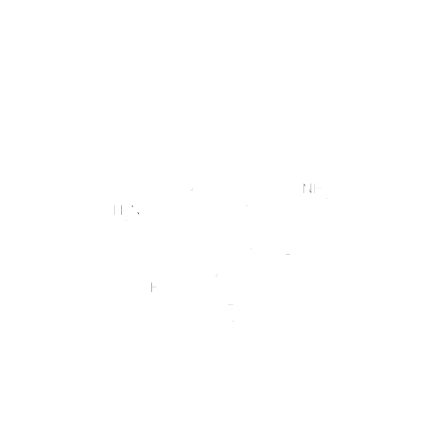 Nc1c(F)c(F)c(F)c2c(N)cccc12